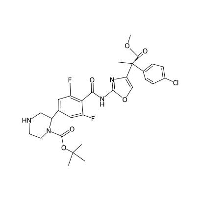 COC(=O)C(C)(c1ccc(Cl)cc1)c1coc(NC(=O)c2c(F)cc(C3CNCCN3C(=O)OC(C)(C)C)cc2F)n1